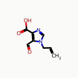 C=CCn1cnc(C(=O)O)c1C=O